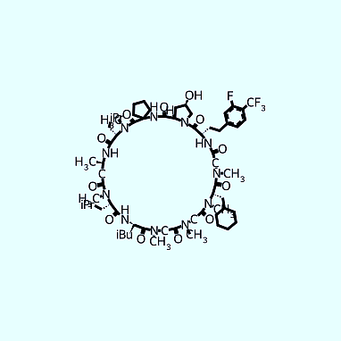 CC[C@H](C)[C@@H]1NC(=O)[C@H](CC(C)C)N(C)C(=O)C[C@@H](C)NC(=O)[C@H](CC(C)C)N(C)C(=O)C2(CCCC2)NC(=O)[C@@H]2C[C@@H](O)CN2C(=O)[C@H](CCc2ccc(C(F)(F)F)c(F)c2)NC(=O)CN(C)C(=O)[C@H](CC2CCCCC2)N(C)C(=O)CN(C)C(=O)CN(C)C1=O